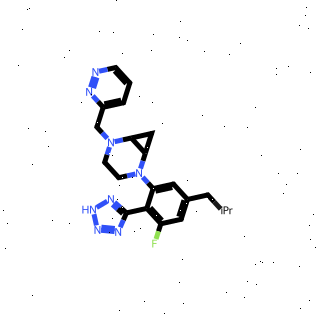 CC(C)Cc1cc(F)c(-c2nn[nH]n2)c(N2CCN(Cc3cccnn3)C3CC32)c1